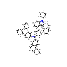 c1ccc(-c2ccccc2-c2ccc(N(c3cccc(-c4cccc5c4c4c6ccccc6ccc4n5-c4ccccc4)c3)c3ccc4c(ccc5ccccc54)c3)cc2)cc1